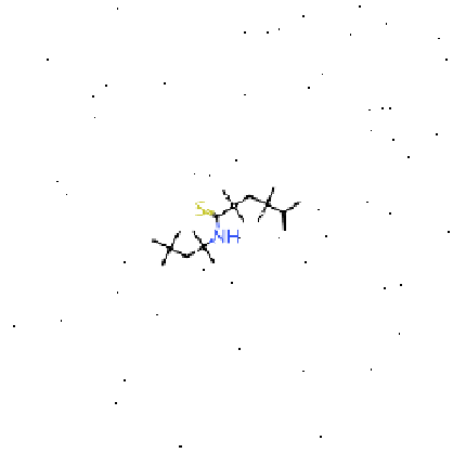 CC(C)C(C)(C)CC(C)(C)C(=S)NC(C)(C)CC(C)(C)C